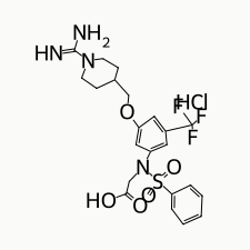 Cl.N=C(N)N1CCC(COc2cc(N(CC(=O)O)S(=O)(=O)c3ccccc3)cc(C(F)(F)F)c2)CC1